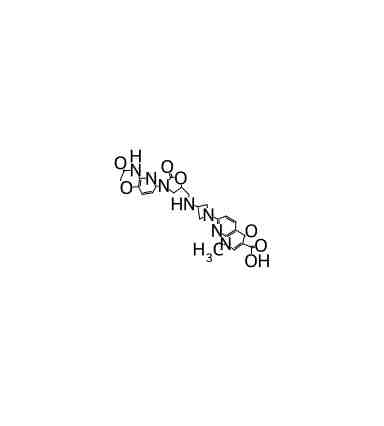 Cn1cc(C(=O)O)c(=O)c2ccc(N3CC(NCC4CN(c5ccc6c(n5)NC(=O)CO6)C(=O)O4)C3)nc21